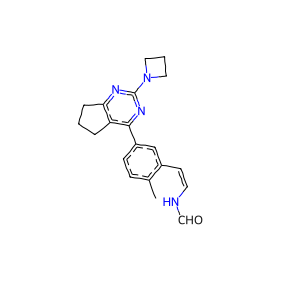 Cc1ccc(-c2nc(N3CCC3)nc3c2CCC3)cc1/C=C\NC=O